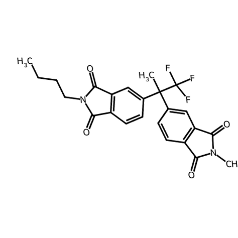 CCCCN1C(=O)c2ccc(C(C)(c3ccc4c(c3)C(=O)N(C)C4=O)C(F)(F)F)cc2C1=O